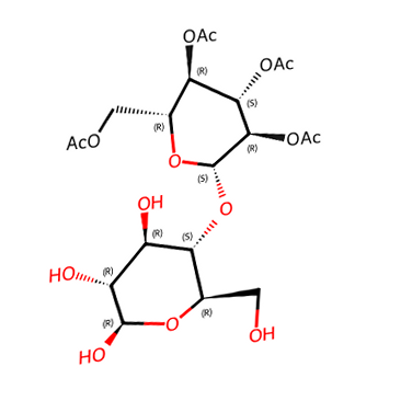 CC(=O)OC[C@H]1O[C@@H](O[C@H]2[C@H](O)[C@@H](O)[C@H](O)O[C@@H]2CO)[C@H](OC(C)=O)[C@@H](OC(C)=O)[C@@H]1OC(C)=O